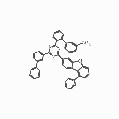 Cc1cccc(-c2ccccc2-c2nc(-c3cccc(-c4ccccc4)c3)nc(-c3ccc4c(c3)oc3cccc(-c5ccccc5)c34)n2)c1